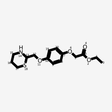 CCOC(=O)COc1ccc(OCC2NCCCS2)cc1